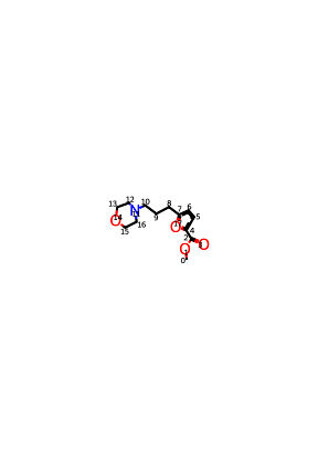 COC(=O)c1ccc(CCCN2CCOCC2)o1